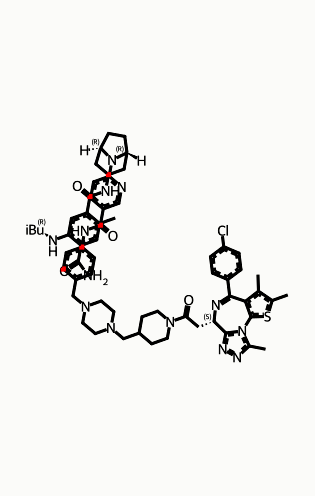 CC[C@@H](C)Nc1cc(C(=O)NC2C[C@H]3CC[C@H](C2)N3c2ccc(C(=O)Nc3ccc(CN4CCN(CC5CCN(C(=O)C[C@@H]6N=C(c7ccc(Cl)cc7)c7c(sc(C)c7C)-n7c(C)nnc76)CC5)CC4)cc3)cn2)c(C)cc1C(N)=O